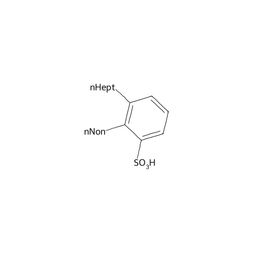 CCCCCCCCCc1c(CCCCCCC)cccc1S(=O)(=O)O